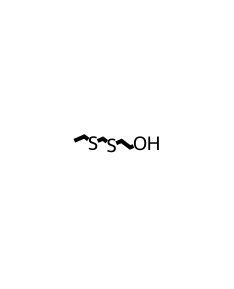 CCSCSCCO